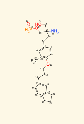 NC(CO)(CCc1ccc(OCCCc2ccc3c(c2)CCC3)c(C(F)(F)F)c1)CO[PH2]=O